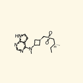 CC[C@@H](C)CS(=O)(=O)C[C@H]1C[C@@H](N(C)c2ncnc3[nH]ccc23)C1